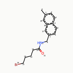 Cc1ccc2ccc(CNC(=O)CCCCBr)cc2c1